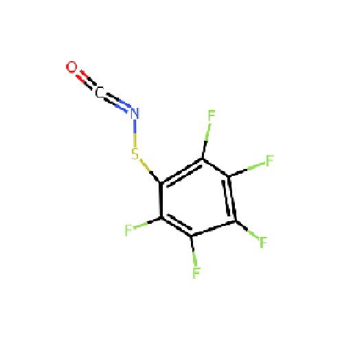 O=C=NSc1c(F)c(F)c(F)c(F)c1F